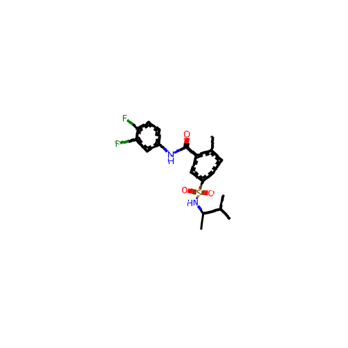 Cc1ccc(S(=O)(=O)NC(C)C(C)C)cc1C(=O)Nc1ccc(F)c(F)c1